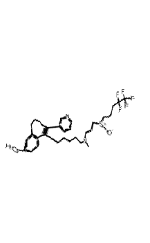 CN(CCCCCC1=C(c2cccnc2)CCCc2cc(O)ccc21)CCC[S+]([O-])CCCC(F)(F)C(F)(F)F